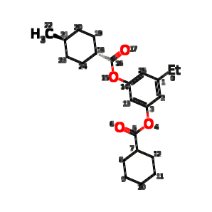 CCc1cc(OC(=O)C2CCCCC2)cc(OC(=O)[C@H]2CC[C@H](C)CC2)c1